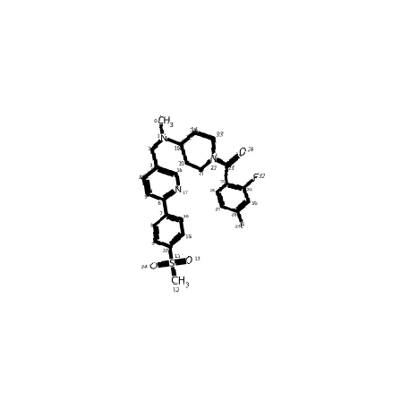 CN(Cc1ccc(-c2ccc(S(C)(=O)=O)cc2)nc1)C1CCN(C(=O)c2ccc(F)cc2F)CC1